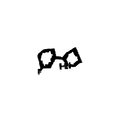 Fc1cccc(C2=CC=CC=CN2)c1